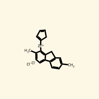 Cc1ccc2c(c1)Cc1c-2ccc(C)[c]1[Zr+2][C]1=CC=CC1.[Cl-].[Cl-]